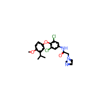 COc1ccc(Oc2c(Cl)cc(NC(=O)Cn3ccnc3)cc2Cl)cc1C(C)C